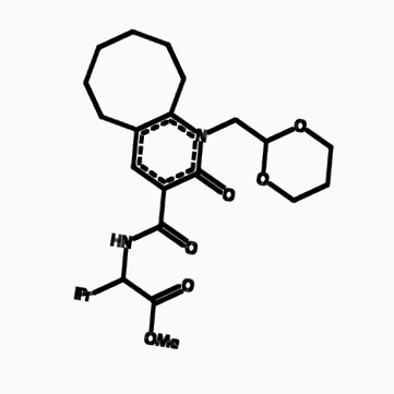 COC(=O)C(NC(=O)c1cc2c(n(CC3OCCCO3)c1=O)CCCCCC2)C(C)C